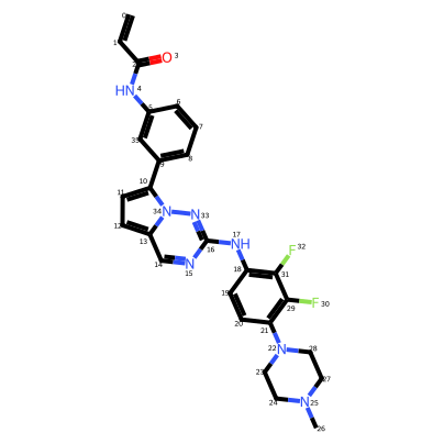 C=CC(=O)Nc1cccc(-c2ccc3cnc(Nc4ccc(N5CCN(C)CC5)c(F)c4F)nn23)c1